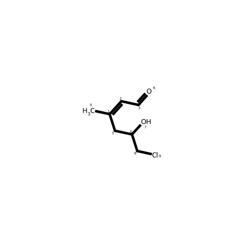 CC(=C[C]=O)CC(O)CCl